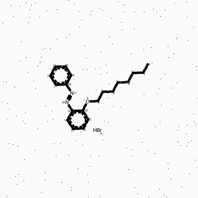 Br.CCCCCCCCOc1ccccc1N=Nc1ccccc1